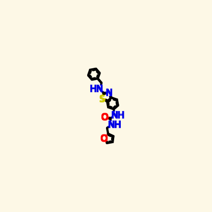 O=C(NCc1ccco1)Nc1ccc2nc(NCc3ccccc3)sc2c1